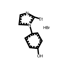 Br.CCc1nccn1-c1ccc(O)cc1